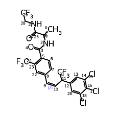 C[C@@H](NC(=O)c1ccc(/C=C\C(c2cc(Cl)c(Cl)c(Cl)c2)C(F)(F)F)cc1C(F)(F)F)C(=O)NCC(F)(F)F